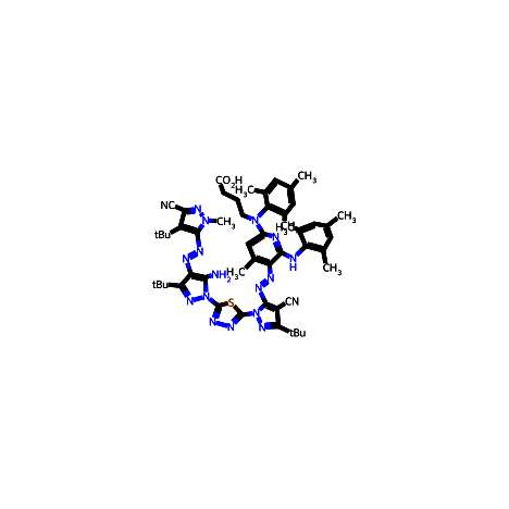 Cc1cc(C)c(Nc2nc(N(CCCC(=O)O)c3c(C)cc(C)cc3C)cc(C)c2N=Nc2c(C#N)c(C(C)(C)C)nn2-c2nnc(-n3nc(C(C)(C)C)c(N=Nc4c(C(C)(C)C)c(C#N)nn4C)c3N)s2)c(C)c1